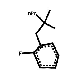 CCCC(C)(C)Cc1ccccc1F